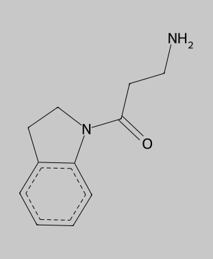 NCCC(=O)N1CCc2ccccc21